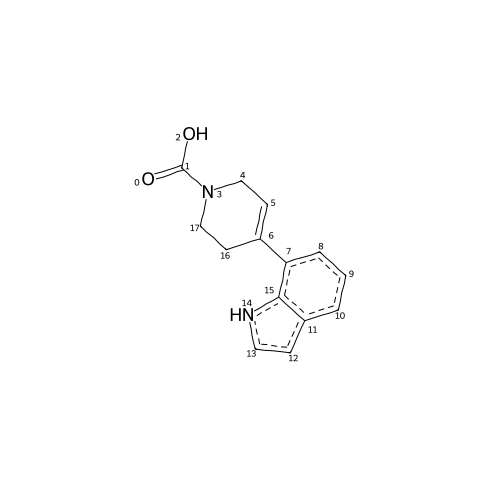 O=C(O)N1CC=C(c2cccc3cc[nH]c23)CC1